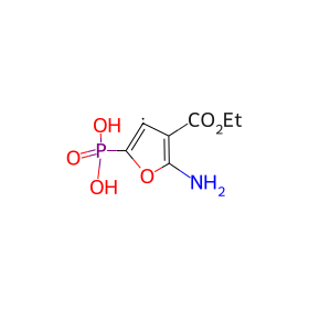 CCOC(=O)c1[c]c(P(=O)(O)O)oc1N